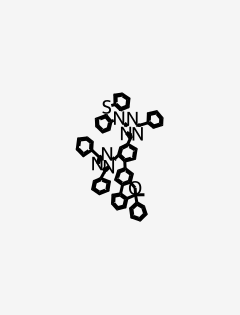 CC1(c2ccccc2)Oc2cc(-c3ccc(-c4nc(-c5ccccc5)nc(N5c6ccccc6Sc6ccccc65)n4)cc3-c3nc(-c4ccccc4)nc(-c4ccccc4)n3)ccc2-c2ccccc21